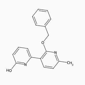 Cc1ccc(-c2cccc(O)n2)c(OCc2ccccc2)n1